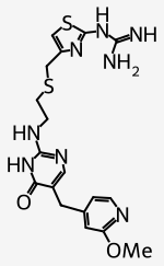 COc1cc(Cc2cnc(NCCSCc3csc(NC(=N)N)n3)[nH]c2=O)ccn1